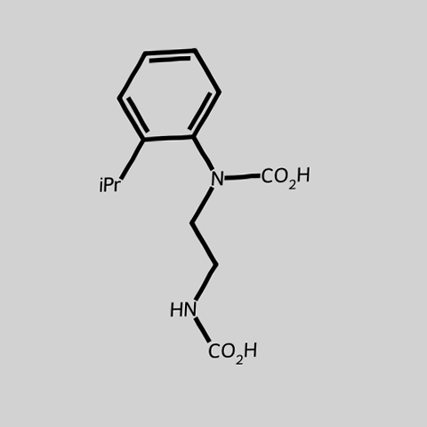 CC(C)c1ccccc1N(CCNC(=O)O)C(=O)O